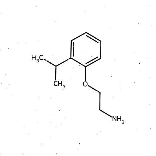 CC(C)c1ccccc1OCCN